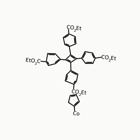 CCOC(=O)c1ccc(C2=C(c3ccc(C(=O)OCC)cc3)C(c3ccc(C(=O)OCC)cc3)=C2c2ccc(C(=O)OCC)cc2)cc1.[Co][C]1=CC=CC1